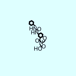 O=C(O)CN1CCOc2ccc(NC(=O)NCc3ccccc3)cc2C1=O